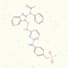 CC(=O)N(c1ccccc1)c1nc2ccccc2n1CN(C)c1ccnc(Nc2ccc(CS(C)(=O)=O)cc2)n1